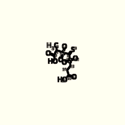 CC(C(=O)O)S(=O)(=O)C(=S)S(=O)(=O)CCC(=O)O